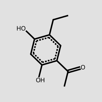 CCc1cc(C(C)=O)c(O)cc1O